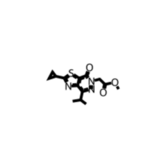 COC(=O)Cn1nc(C(C)C)c2nc(C3CC3)sc2c1=O